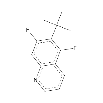 CC(C)(C)c1c(F)cc2ncccc2c1F